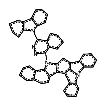 c1ccc2c(c1)ccc1c3c4c5ccccc5n5c6ccccc6c(cc3n(-c3nnc(-n6c7ccccc7c7ccccc76)c6ccccc36)c21)c45